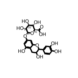 O=C(O)[C@H]1O[C@@H](Oc2cc(O)c3c(c2)OC(c2ccc(O)c(O)c2)C(O)C3)[C@H](O)[C@@H](O)[C@@H]1O